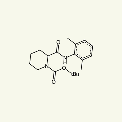 Cc1cccc(C)c1NC(=O)C1CCCCN1C(=O)OC(C)(C)C